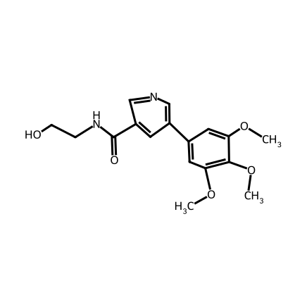 COc1cc(-c2cncc(C(=O)NCCO)c2)cc(OC)c1OC